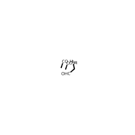 CC(=O)CC=O.CC(=O)O.CC(=O)O